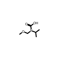 COCN(C(=O)O)C(C)C